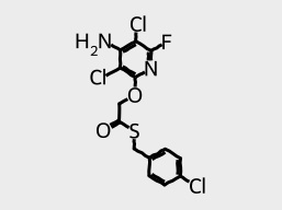 Nc1c(Cl)c(F)nc(OCC(=O)SCc2ccc(Cl)cc2)c1Cl